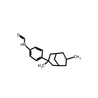 CC1CC2CC(C1)CC(C)(c1ccc(NC=O)cc1)C2